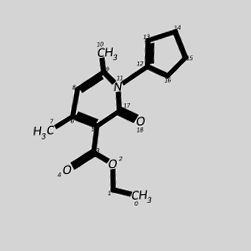 CCOC(=O)c1c(C)cc(C)n(C2=CCCC2)c1=O